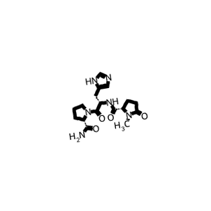 CN1C(=O)CC[C@H]1C(=O)N[C@@H](Cc1cnc[nH]1)C(=O)N1CCC[C@H]1C(N)=O